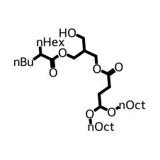 CCCCCCCCOC(CCC(=O)OCC(CO)COC(=O)C(CCCC)CCCCCC)OCCCCCCCC